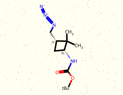 CC(C)(C)OC(=O)N[C@@H]1C[C@H](CN=[N+]=[N-])C1(C)C